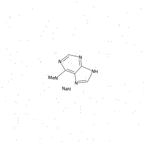 CNc1ncnc2[nH]cnc12.[NaH]